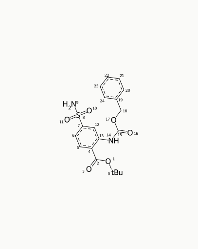 CC(C)(C)OC(=O)c1ccc(S(N)(=O)=O)cc1NC(=O)OCc1ccccc1